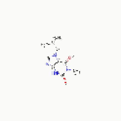 CC(C)Cn1cnc2[nH]c(=O)n(C)c(=O)c21